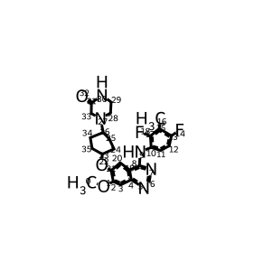 COc1cc2ncnc(Nc3ccc(F)c(C)c3F)c2cc1OC1CCC(N2CCNC(=O)C2)CC1